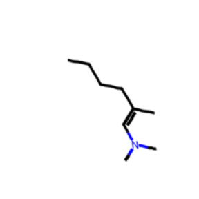 CCCCC(C)=CN(C)C